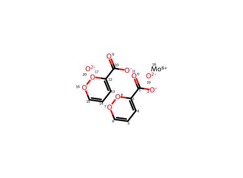 O=C([O-])C1=CC=COO1.O=C([O-])C1=CC=COO1.[Mo+6].[O-2].[O-2]